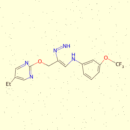 CCc1cnc(OC/C(=C/Nc2cccc(OC(F)(F)F)c2)N=N)nc1